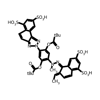 CC=C1C=Cc2c(cc(S(=O)(=O)O)cc2S(=O)(=O)O)/C1=N/N(C)c1cc(OC(=O)C(C)(C)C)c(-n2nc3ccc4c(S(=O)(=O)O)cc(S(=O)(=O)O)cc4c3n2)cc1OC(=O)C(C)(C)C